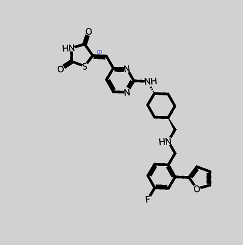 O=C1NC(=O)/C(=C/c2ccnc(N[C@H]3CC[C@H](CNCc4ccc(F)cc4-c4ccco4)CC3)n2)S1